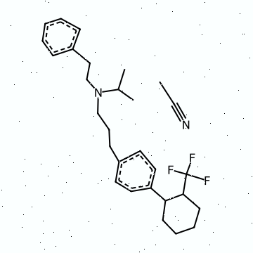 CC#N.CC(C)N(CCCc1ccc(C2CCCCC2C(F)(F)F)cc1)CCc1ccccc1